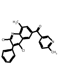 Cc1ccc(C(=O)c2cc(C)c3nc(Cl)c(-c4ccccc4)c(Cl)c3c2)cn1